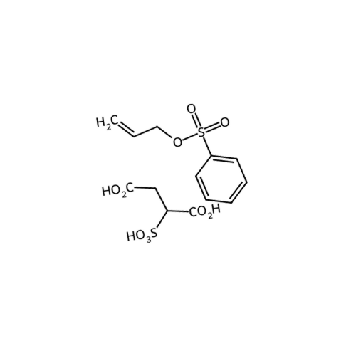 C=CCOS(=O)(=O)c1ccccc1.O=C(O)CC(C(=O)O)S(=O)(=O)O